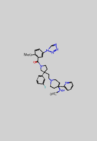 COc1ccc(-n2cnnn2)cc1C(=O)N1CCC(CCN2CCC(NC=O)(c3ccccn3)CC2)(c2cccc(F)c2)C1